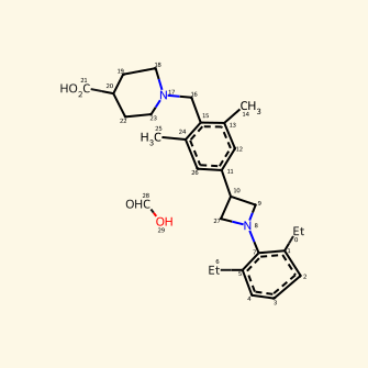 CCc1cccc(CC)c1N1CC(c2cc(C)c(CN3CCC(C(=O)O)CC3)c(C)c2)C1.O=CO